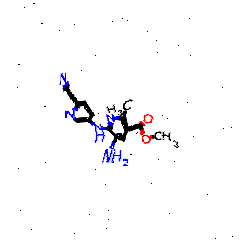 COC(=O)c1cc(N)c(Nc2ccc(C#N)nc2)nc1C